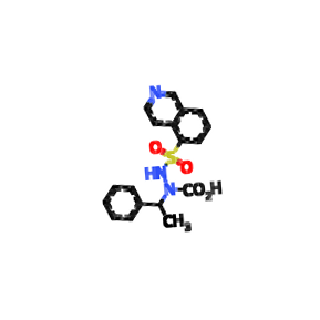 CC(c1ccccc1)N(NS(=O)(=O)c1cccc2cnccc12)C(=O)O